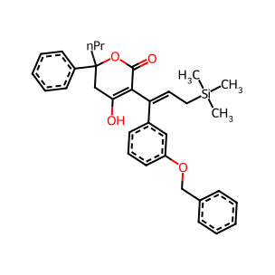 CCCC1(c2ccccc2)CC(O)=C(C(=CC[Si](C)(C)C)c2cccc(OCc3ccccc3)c2)C(=O)O1